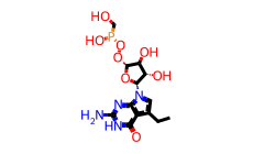 CCc1cn([C@@H]2O[C@H](OOP(O)CO)C(O)[C@@H]2O)c2nc(N)[nH]c(=O)c12